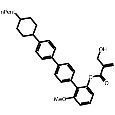 C=C(CO)C(=O)Oc1cccc(OC)c1-c1ccc(-c2ccc(C3CCC(CCCCC)CC3)cc2)cc1